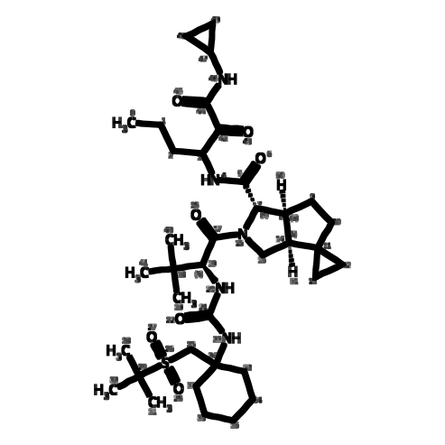 CCCC(NC(=O)[C@@H]1[C@H]2CCC3(CC3)[C@H]2CN1C(=O)[C@@H](NC(=O)NC1(CS(=O)(=O)C(C)(C)C)CCCCC1)C(C)(C)C)C(=O)C(=O)NC1CC1